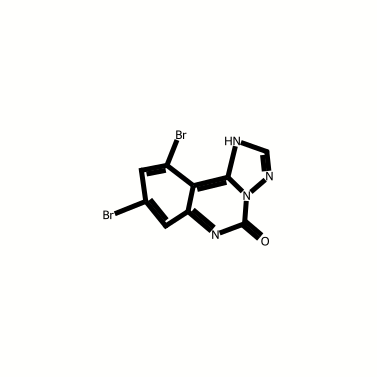 O=c1nc2cc(Br)cc(Br)c2c2[nH]cnn12